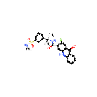 CNS(=O)(=O)c1cccc(C(C)(C)NC(=O)c2cc3[nH]c4ccccc4c(=O)c3cc2F)c1